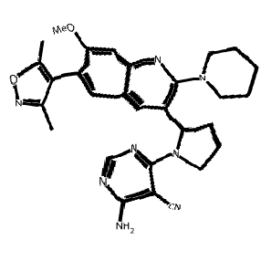 COc1cc2nc(N3CCCCC3)c(C3CCCN3c3ncnc(N)c3C#N)cc2cc1-c1c(C)noc1C